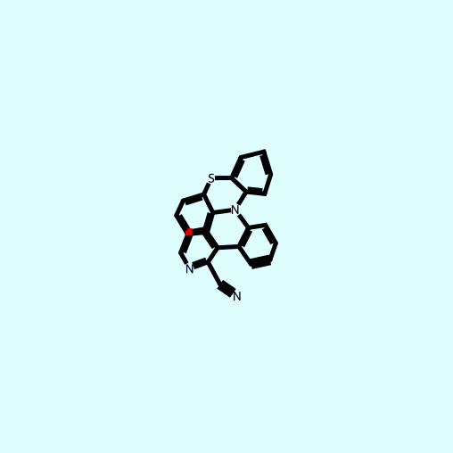 N#Cc1ncccc1-c1c#cccc1N1c2ccccc2Sc2ccccc21